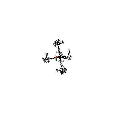 CC(=O)NC1C(OCCOCCNC(=O)CCC(CCC(=O)NCCOCCOC2OC(COC(C)=O)C(OC(C)=O)C(OC(C)=O)C2NC(C)=O)(CCC(=O)NCCOCCOC2OC(COC(C)=O)C(OC(C)=O)C(OC(C)=O)C2NC(C)=O)NC(=O)C2CCC(OP(OCCCC#N)N(C(C)C)C(C)C)CC2)CC(COC(C)=O)C(OC(C)=O)C1OC(C)=O